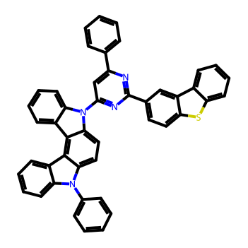 c1ccc(-c2cc(-n3c4ccccc4c4c5c6ccccc6n(-c6ccccc6)c5ccc43)nc(-c3ccc4sc5ccccc5c4c3)n2)cc1